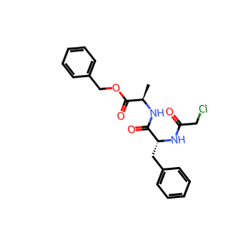 C[C@@H](NC(=O)[C@@H](Cc1ccccc1)NC(=O)CCl)C(=O)OCc1ccccc1